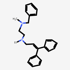 CCN(CC=C(c1ccccc1)c1ccccc1)CCN(C)Cc1ccccc1